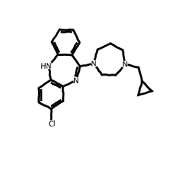 Clc1ccc2c(c1)N=C(N1CCCN(CC3CC3)CC1)c1ccccc1N2